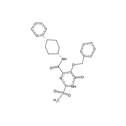 CS(=O)(=O)c1nc(C(=O)N[C@H]2CC[C@@H](c3ccccc3)CC2)c(OCc2ccccc2)c(=O)[nH]1